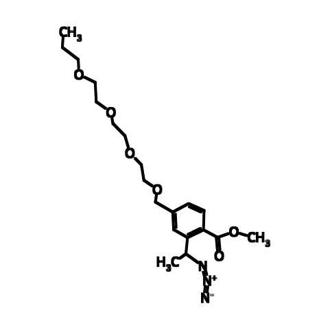 CCCOCCOCCOCCOCc1ccc(C(=O)OC)c(C(C)N=[N+]=[N-])c1